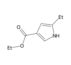 CCOC(=O)c1c[nH]c(CC)c1